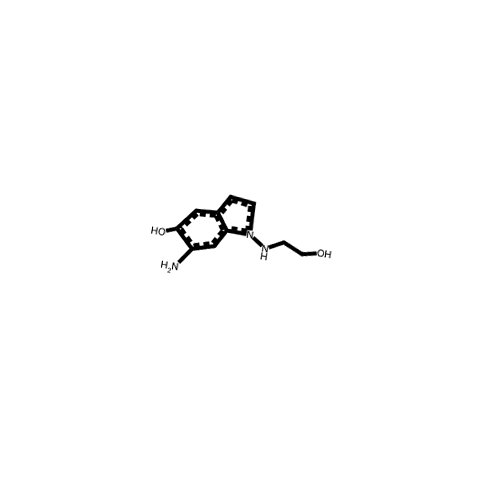 Nc1cc2c(ccn2NCCO)cc1O